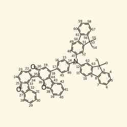 CC1(C)c2ccccc2-c2ccc(N(c3ccc(-c4cc5oc6ccc7oc8ccccc8c7c6c5c5oc6ccccc6c45)cc3)c3ccc4c(c3)C(C)(C)c3ccccc3-4)cc21